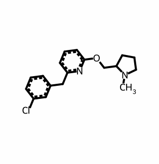 CN1CCCC1COc1cccc(Cc2cccc(Cl)c2)n1